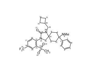 CNC1(c2ccccc2)CCC2(CC1)CN(c1ccc(C(F)(F)F)cc1S(C)(=O)=O)C(=O)N2CC1CCC1